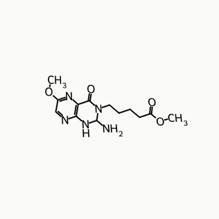 COC(=O)CCCCN1C(=O)c2nc(OC)cnc2NC1N